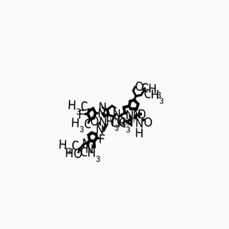 Cc1cc(-n2nc3c(c2-n2ccn(-c4ccc5c(cnn5CC(C)(C)O)c4F)c2=O)[C@H](C)N(C(=O)c2cc4cc(C5CCOC(C)(C)C5)ccc4n2[C@@]2(c4noc(=O)[nH]4)C[C@@H]2C)CC3)cc(C)c1F